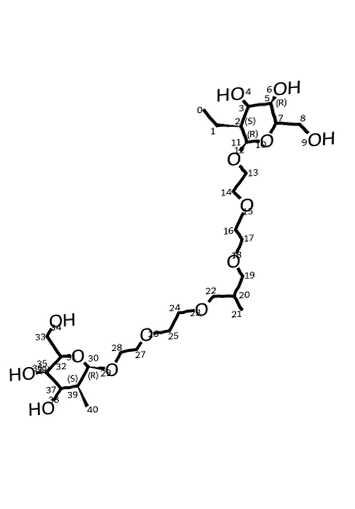 CC[C@H]1C(O)[C@@H](O)C(CO)O[C@H]1OCCOCCOCC(C)COCCOCCO[C@@H]1OC(CO)[C@H](O)C(O)[C@@H]1C